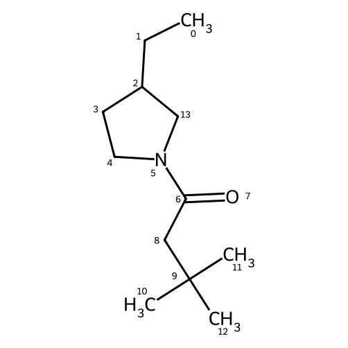 CCC1CCN(C(=O)CC(C)(C)C)C1